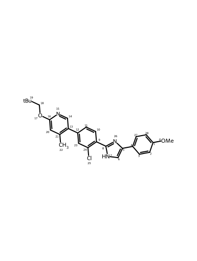 COc1ccc(-c2c[nH]c(-c3ccc(-c4cnc(OCC(C)(C)C)cc4C)cc3Cl)n2)cc1